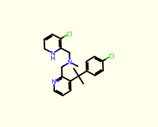 CN(CC1=C(Cl)C=CCN1)Cc1ncccc1C(C)(C)c1ccc(Cl)cc1